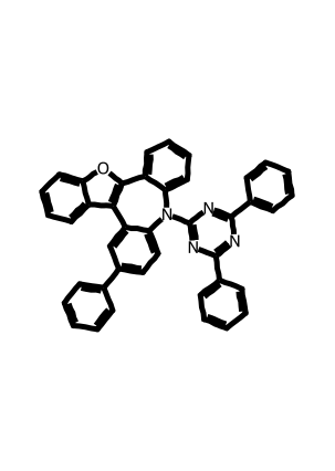 c1ccc(-c2ccc3c(c2)-c2c(oc4ccccc24)-c2ccccc2N3c2nc(-c3ccccc3)nc(-c3ccccc3)n2)cc1